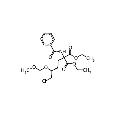 CCOC(=O)C(CC[C@@H](CCl)OCOC)(NC(=O)c1ccccc1)C(=O)OCC